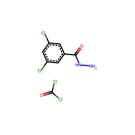 NNC(=O)c1cc(Cl)cc(Cl)c1.O=C(Cl)Cl